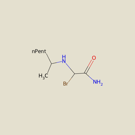 CCCCCC(C)NC(Br)C(N)=O